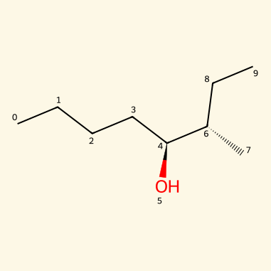 CCCC[C@H](O)[C@@H](C)CC